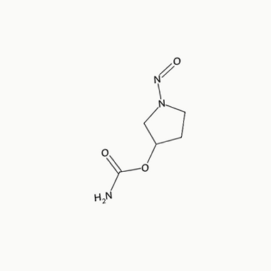 NC(=O)OC1CCN(N=O)C1